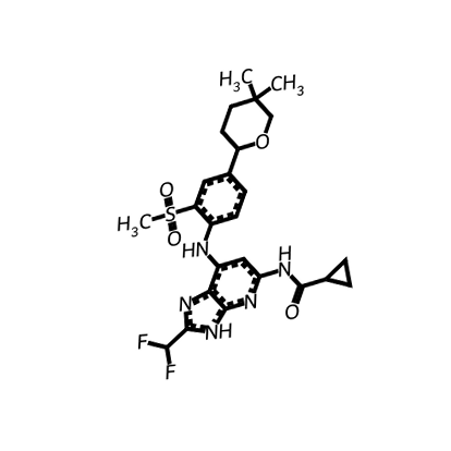 CC1(C)CCC(c2ccc(Nc3cc(NC(=O)C4CC4)nc4[nH]c(C(F)F)nc34)c(S(C)(=O)=O)c2)OC1